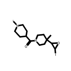 CC1(C2OC2I)CCN(C(=O)C2CCN(I)CC2)CC1